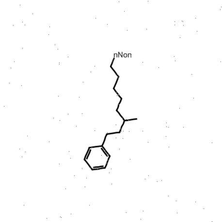 CCCCCCCCCCCCCCC(C)[CH]Cc1ccccc1